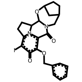 O=C1c2c(OCc3ccccc3)c(=O)c(I)c3n2C(CC3)C2OC3CCC(C3)CN12